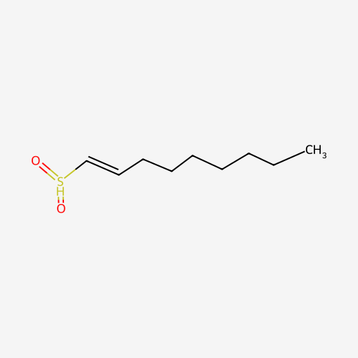 CCCCCCCC=C[SH](=O)=O